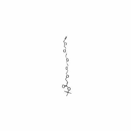 C#CCOCCOCCOCCOCCOCCC(=O)OC(C)(C)C